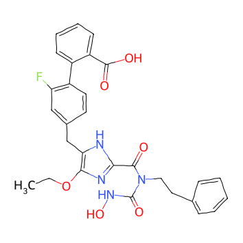 CCOc1nc(C(=O)N(CCc2ccccc2)C(=O)NO)[nH]c1Cc1ccc(-c2ccccc2C(=O)O)c(F)c1